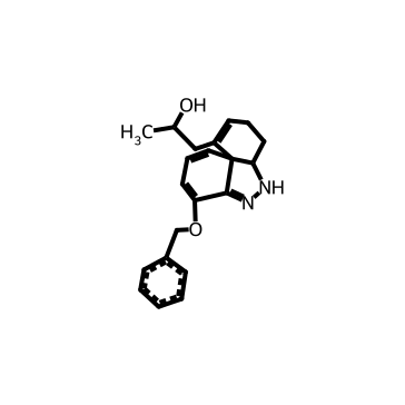 CC(O)CC1=CCCC2NN=C3C(OCc4ccccc4)=CC=CC132